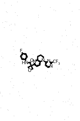 O=C(Nc1ccc(F)cc1)C1(c2ccc3c(n2)CCCN3c2ccnc(C(F)(F)F)n2)COC1